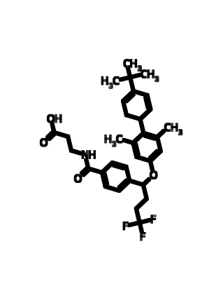 Cc1cc(OC(CCC(F)(F)F)c2ccc(C(=O)NCCC(=O)O)cc2)cc(C)c1C1C=CC(C(C)(C)C)=CC1